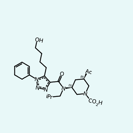 CC(=O)[C@@H]1C[C@H](N(CC(C)C)C(=O)c2nnn(C3=CC=CCC3)c2CCCCO)CN(C(=O)O)C1